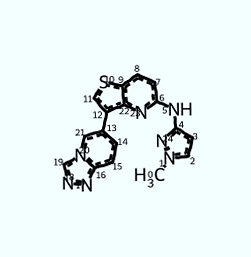 Cn1ccc(Nc2ccc3scc(-c4ccc5nncn5c4)c3n2)n1